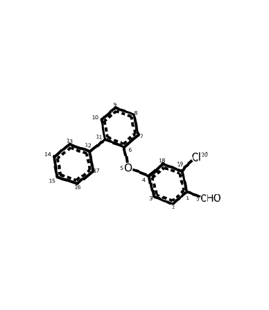 O=Cc1ccc(Oc2ccccc2-c2ccccc2)cc1Cl